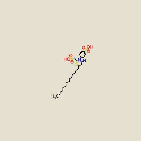 CCCCCCCCCCCCCCC(=S)Cc1nc2cc(S(=O)(=O)O)ccc2n1CCS(=O)(=O)O